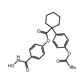 CC(C)(C)C(=O)Oc1ccc(C2(C(=O)Oc3ccc(C(=O)NO)cc3)CCCCC2)cc1